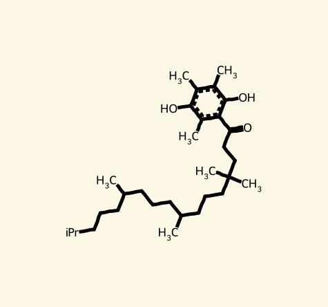 Cc1c(C)c(O)c(C(=O)CCC(C)(C)CCCC(C)CCCC(C)CCCC(C)C)c(C)c1O